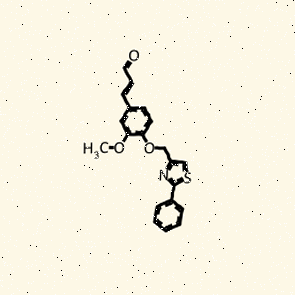 COc1cc(C=CC=O)ccc1OCc1csc(-c2ccccc2)n1